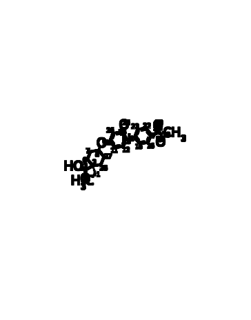 CC[C@]1(C(=O)O)CC[C@H](Oc2ccn(-c3ccc(S(C)(=O)=O)cc3)c(=O)c2)CC1